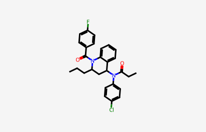 CCCC1CC(N(C(=O)CC)c2ccc(Cl)cc2)c2ccccc2N1C(=O)c1ccc(F)cc1